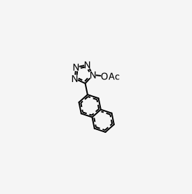 CC(=O)On1nnnc1-c1ccc2ccccc2c1